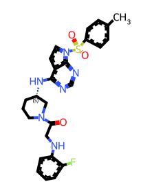 Cc1ccc(S(=O)(=O)n2ccc3c(N[C@H]4CCCN(C(=O)CNc5ccccc5F)C4)ncnc32)cc1